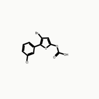 O=C(O)Oc1cc(Br)c(-c2cccc(Cl)c2)s1